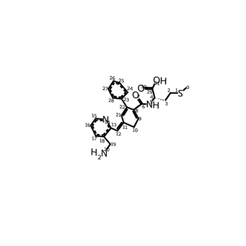 CSCC[C@H](NC(=O)C1=CCC(=Cc2ncccc2CN)C=C1c1ccccc1)C(=O)O